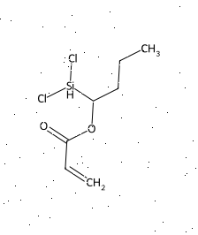 C=CC(=O)OC(CCC)[SiH](Cl)Cl